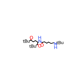 CC(C)(C)NCCCCCC(=O)NC(CCC(=O)C(C)(C)C)C(=O)C(C)(C)C